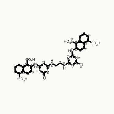 O=S(=O)(O)c1cccc2c(S(=O)(=O)O)c(Nc3nc(Cl)nc(NCCNc4nc(Cl)nc(Nc5ccc6c(S(=O)(=O)O)cccc6c5S(=O)(=O)O)n4)n3)ccc12